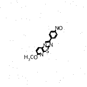 COc1ccc2c(n1)sc1nc(-c3ccc(N=O)cc3)cn12